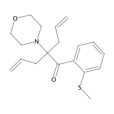 C=CCC(CC=C)(C(=O)c1ccccc1SC)N1CCOCC1